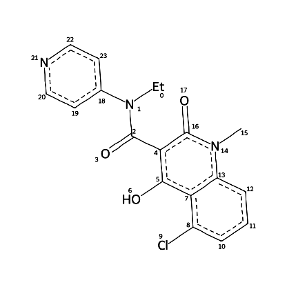 CCN(C(=O)c1c(O)c2c(Cl)cccc2n(C)c1=O)c1ccncc1